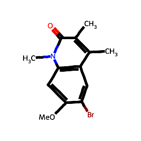 COc1cc2c(cc1Br)c(C)c(C)c(=O)n2C